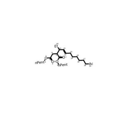 CCCCCOC(=O)CC(C(=O)OCCCCC)C(/C=C/CCCCCCC(C)=O)CC